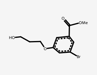 COC(=O)c1cc(Br)cc(OCCCO)c1